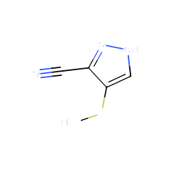 CSc1c[nH]nc1C#N